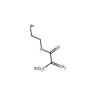 C=C(C(=O)OCC)C(=O)OCCC(C)C